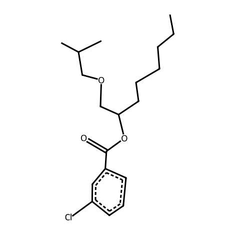 CCCCCCC(COCC(C)C)OC(=O)c1cccc(Cl)c1